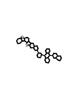 c1cc(-c2ccc3cc4c(cc3c2)sc2c4ccc3oc4ccccc4c32)cc(-c2c3ccccc3c(-c3ccc4ccccc4c3)c3ccccc23)c1